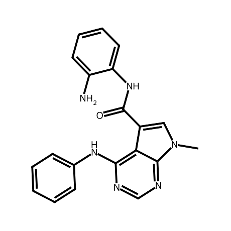 Cn1cc(C(=O)Nc2ccccc2N)c2c(Nc3ccccc3)ncnc21